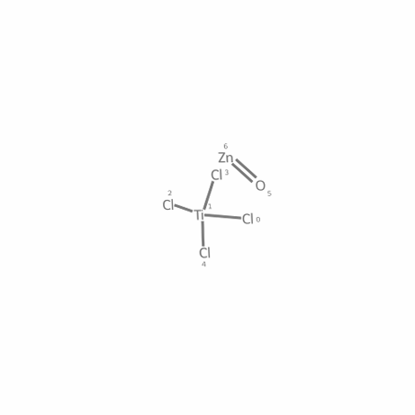 [Cl][Ti]([Cl])([Cl])[Cl].[O]=[Zn]